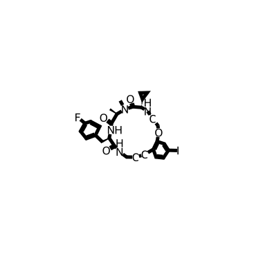 C[C@@H]1C(=O)N[C@H](Cc2ccc(F)cc2)C(=O)NCCCc2ccc(I)cc2OCCN[C@@H](C2CC2)C(=O)N1C